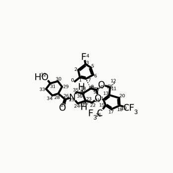 Cc1cc(F)ccc1[C@@H]1[C@@H](O[C@H](C)c2cc(C(F)(F)F)cc(C(F)(F)F)c2)OC[C@@H]2CN(C(=O)C3CCC(O)CC3)C[C@H]21